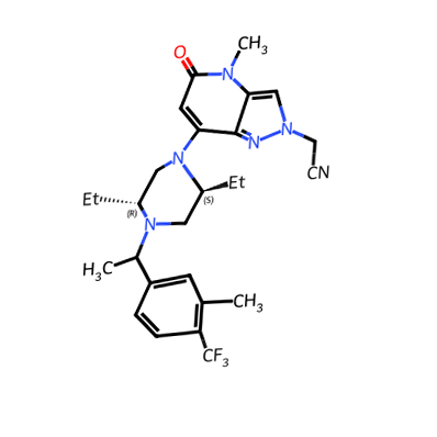 CC[C@H]1CN(C(C)c2ccc(C(F)(F)F)c(C)c2)[C@H](CC)CN1c1cc(=O)n(C)c2cn(CC#N)nc12